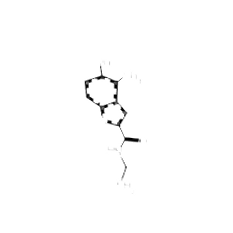 CCNC(=O)c1cc2c(C)c(O)ccc2s1